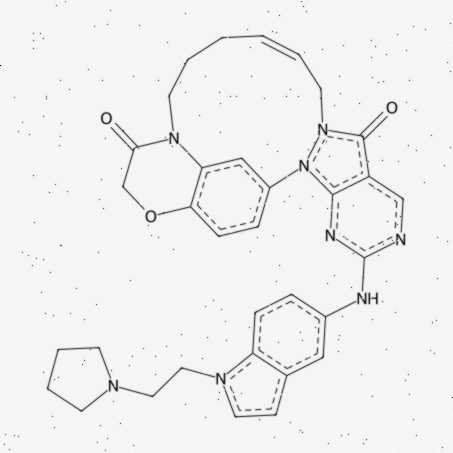 O=C1COc2ccc3cc2N1CCC/C=C\Cn1c(=O)c2cnc(Nc4ccc5c(ccn5CCN5CCCC5)c4)nc2n1-3